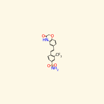 NS(=O)(=O)c1ccc(C=Cc2ccc3c(c2)NC(=O)CO3)c(C(F)(F)F)c1